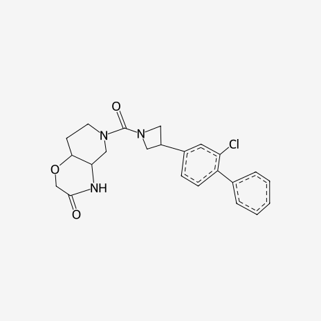 O=C1COC2CCN(C(=O)N3CC(c4ccc(-c5ccccc5)c(Cl)c4)C3)CC2N1